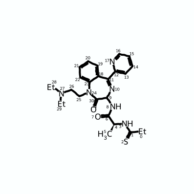 CCC(=S)N[C@@H](C)C(=O)NC1N=C(c2ccccn2)c2ccccc2N(CCN(CC)CC)C1=O